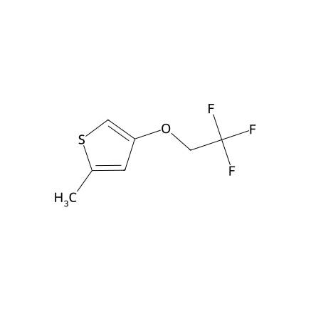 Cc1cc(OCC(F)(F)F)cs1